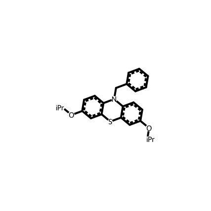 CC(C)Oc1ccc2c(c1)Sc1cc(OC(C)C)ccc1N2Cc1ccccc1